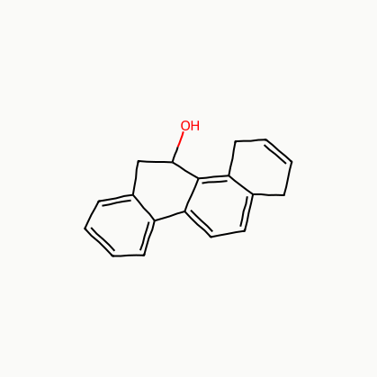 OC1Cc2ccccc2-c2ccc3c(c21)CC=CC3